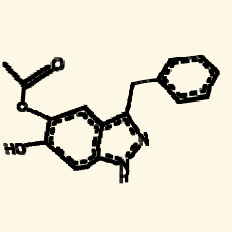 CC(=O)Oc1cc2c(Cc3ccccc3)n[nH]c2cc1O